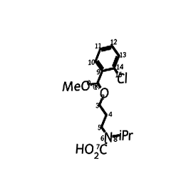 CO[C@H](OCCCN(C(=O)O)C(C)C)c1ccccc1Cl